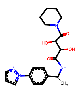 C[C@@H](NC(=O)[C@H](O)[C@@H](O)C(=O)N1CCCCC1)c1ccc(-n2cccn2)cc1